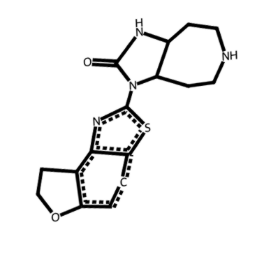 O=C1NC2CCNCCC2N1c1nc2c3c(ccc2s1)OCC3